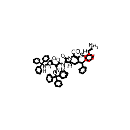 NCCc1ncccc1SC1=C(C(=O)O)N2C(=O)[C@@H](NC(=O)C(=NOC(c3ccccc3)(c3ccccc3)c3ccccc3)c3nc(NC(c4ccccc4)(c4ccccc4)c4ccccc4)sc3Cl)[C@H]2CC1C(c1ccccc1)c1ccccc1